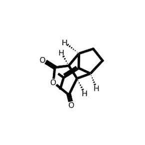 CC(C)=C1[C@H]2CC[C@@H]1[C@@H]1C(=O)OC(=O)[C@@H]12